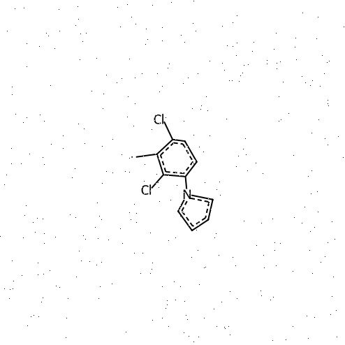 [CH2]c1c(Cl)ccc(-n2cccc2)c1Cl